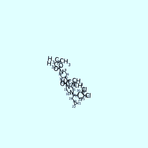 CC(C)(C)OC(=O)N1CCC(CC(=O)N2CCN(C(CC3CC3)c3ccc(Cl)c(Cl)c3)C[C@@H]2C(C)(C)C)CC1